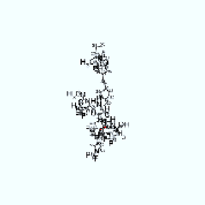 COC(=O)N[C@H](C(=O)N[C@@H](Cc1ccc(C#Cc2ccc(N3CC4CCC(C3)N4C(=O)N(C)C)nc2)cc1)[C@@H](O)CN(Cc1c(F)cc(-c2cnn(C(F)F)c2)cc1F)NC(=O)[C@@H](NC(=O)O)C(C)(C)C(F)(F)F)C(C)(C)C(F)(F)F